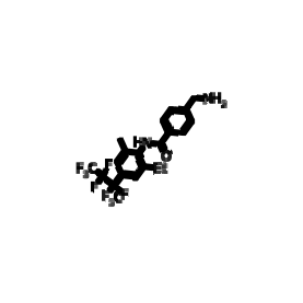 CCc1cc(C(F)(C(F)(F)F)C(F)(F)C(F)(F)F)cc(C)c1NC(=O)c1ccc(CN)cc1